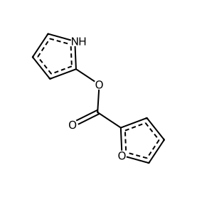 O=C(Oc1ccc[nH]1)c1ccco1